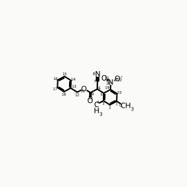 Cc1cc(C)c(C(C#N)C(=O)OCc2ccccc2)c([N+](=O)[O-])c1